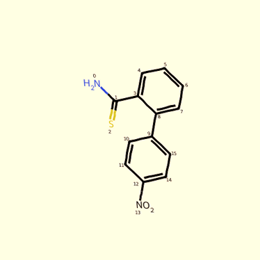 NC(=S)c1ccccc1-c1ccc([N+](=O)[O-])cc1